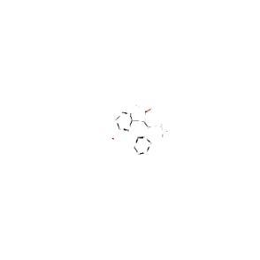 CC(=O)c1ccc2c(c1)/C(=C(/NC(C)C)c1ccccc1)C(=O)N2